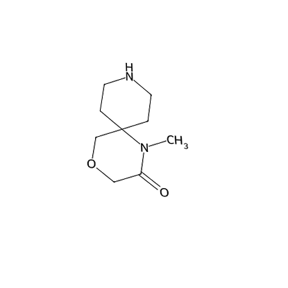 CN1C(=O)COCC12CCNCC2